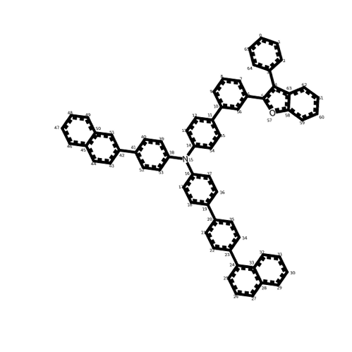 c1ccc(-c2c(-c3cccc(-c4ccc(N(c5ccc(-c6ccc(-c7cccc8ccccc78)cc6)cc5)c5ccc(-c6ccc7ccccc7c6)cc5)cc4)c3)oc3ccccc23)cc1